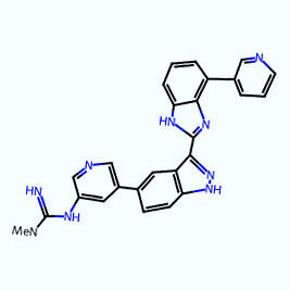 CNC(=N)Nc1cncc(-c2ccc3[nH]nc(-c4nc5c(-c6cccnc6)cccc5[nH]4)c3c2)c1